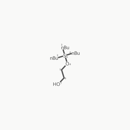 CCCC[Si](CCCC)(CCCC)OCCO